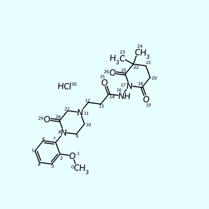 COc1ccccc1N1CCN(CCC(=O)NN2C(=O)CCC(C)(C)C2=O)CC1=O.Cl